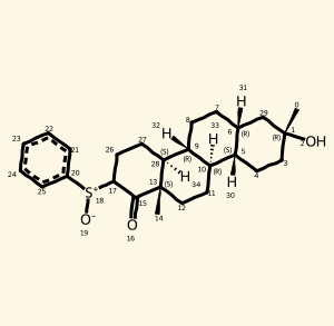 C[C@@]1(O)CC[C@H]2[C@H](CC[C@@H]3[C@@H]2CC[C@]2(C)C(=O)C([S+]([O-])c4ccccc4)CC[C@@H]32)C1